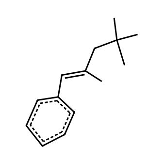 C/C(=C\c1ccccc1)CC(C)(C)C